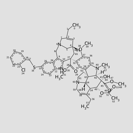 CCC1=C[C@H]2CN(C1)Cc1c([nH]c3ccc(SCc4ccccc4Cl)cc13)[C@@](C(=O)OC)(c1cc3c(cc1OC)N(C)[C@H]1[C@@](O)(C(=O)OC)[C@H](OC(C)=O)C4C(CC)=CCN5CC[C@]31[C@H]45)C2